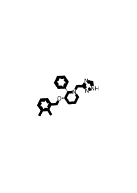 Cc1cccc(CO[C@H]2CCCN(Cc3nc[nH]n3)[C@H]2c2ccccc2)c1C